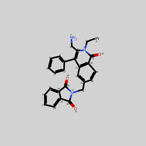 CC(C)Cn1c(CN)c(-c2ccccc2)c2cc(CN3C(=O)c4ccccc4C3=O)ccc2c1=O